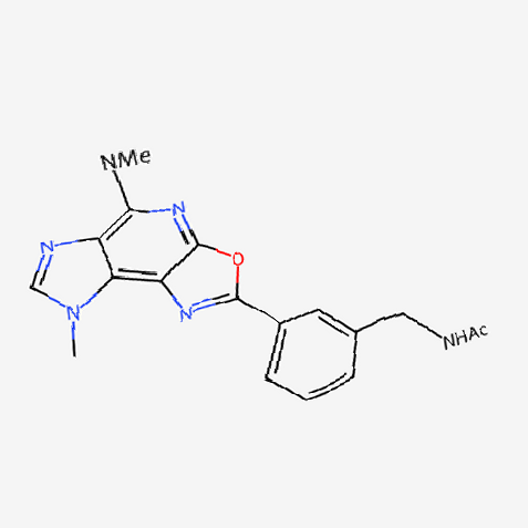 CNc1nc2oc(-c3cccc(CNC(C)=O)c3)nc2c2c1ncn2C